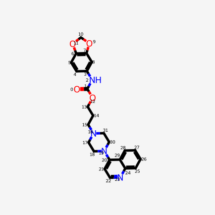 O=C(Nc1ccc2c(c1)OCO2)OCCCN1CCN(c2ccnc3ccccc23)CC1